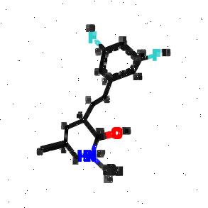 C=C(C)CC(CCc1cc(F)cc(F)c1)C(=O)NC(C)(C)C